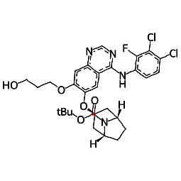 CC(C)(C)OC(=O)N1[C@@H]2CC[C@H]1C[C@H](Oc1cc3c(Nc4ccc(Cl)c(Cl)c4F)ncnc3cc1OCCCO)C2